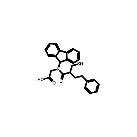 O=C(O)CN(C(=O)C(CS)CCc1ccccc1)C1c2ccccc2-c2ccccc21